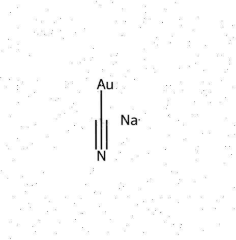 N#[C][Au].[Na]